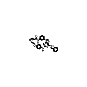 CC=CC(=O)Nc1cccc(-n2cnc3c(NCc4ccccc4)nc(Nc4ccc(OCCOC)cc4)nc32)c1